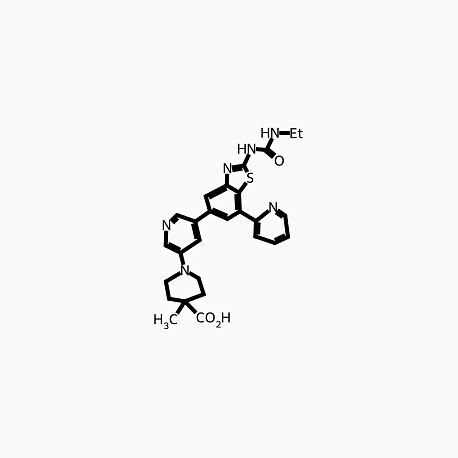 CCNC(=O)Nc1nc2cc(-c3cncc(N4CCC(C)(C(=O)O)CC4)c3)cc(-c3ccccn3)c2s1